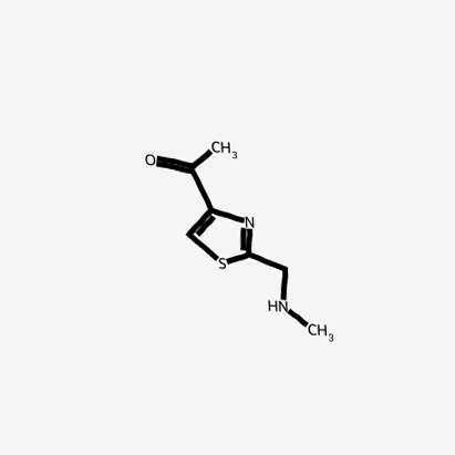 CNCc1nc(C(C)=O)cs1